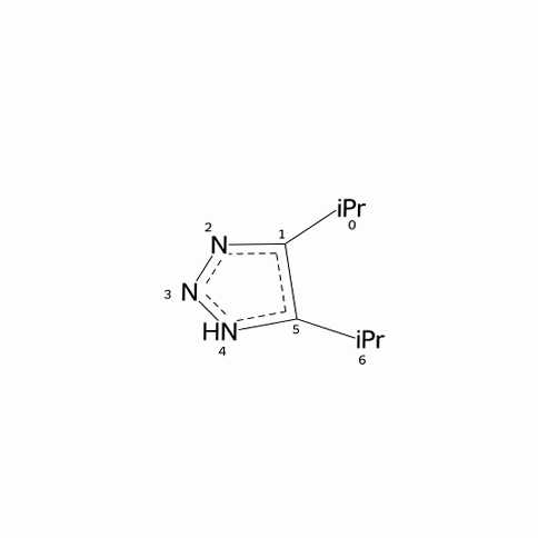 CC(C)c1nn[nH]c1C(C)C